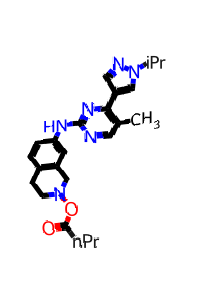 CCCC(=O)ON1CCc2ccc(Nc3ncc(C)c(-c4cnn(C(C)C)c4)n3)cc2C1